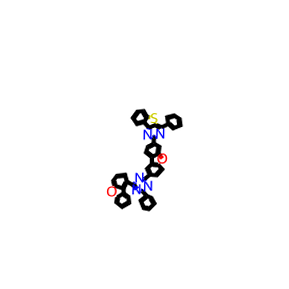 c1ccc(-c2nc(-c3ccc4oc5cc(-c6nc(-c7ccccc7)c7sc8ccccc8c7n6)ccc5c4c3)nc(-c3cccc4oc5ccccc5c34)n2)cc1